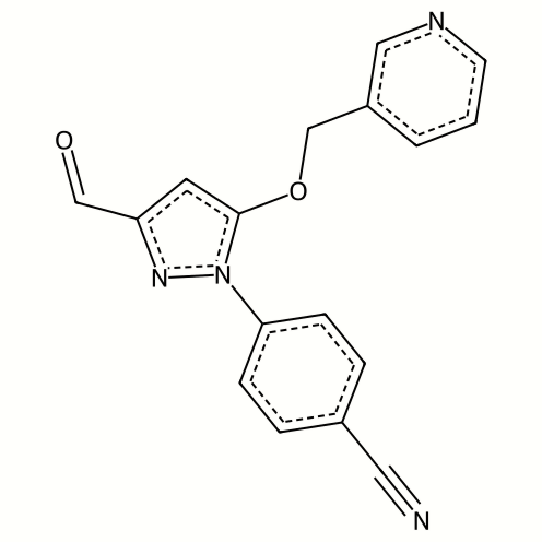 N#Cc1ccc(-n2nc(C=O)cc2OCc2cccnc2)cc1